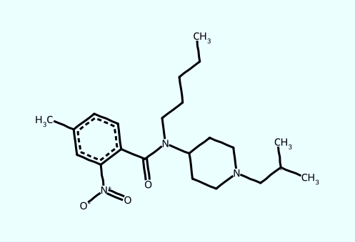 CCCCCN(C(=O)c1ccc(C)cc1[N+](=O)[O-])C1CCN(C[C](C)C)CC1